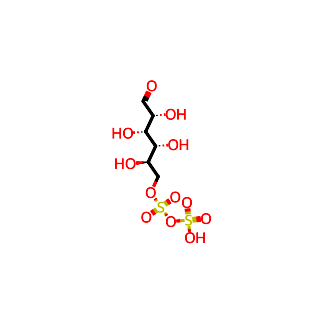 O=C[C@H](O)[C@@H](O)[C@H](O)[C@H](O)COS(=O)(=O)OS(=O)(=O)O